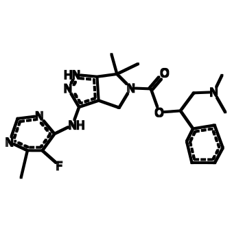 Cc1ncnc(Nc2n[nH]c3c2CN(C(=O)OC(CN(C)C)c2ccccc2)C3(C)C)c1F